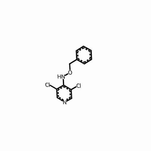 Clc1cncc(Cl)c1NOCc1ccccc1